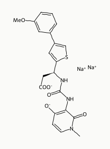 COc1cccc(-c2csc([C@H](CC(=O)[O-])NC(=O)Nc3c([O-])ccn(C)c3=O)c2)c1.[Na+].[Na+]